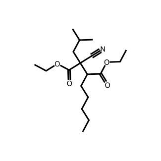 CCCCCC(C(=O)OCC)C(C#N)(CC(C)C)C(=O)OCC